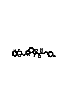 Cc1c(C(=O)NCCN2CCN(C)CC2)oc2c1-c1nn(C[C@@H]3COc4ncccc4O3)cc1CC2